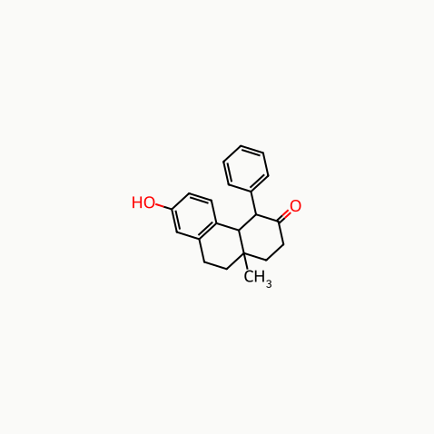 CC12CCC(=O)C(c3ccccc3)C1c1ccc(O)cc1CC2